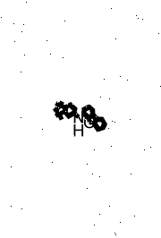 CC1(C)CC(C)(C)c2cc(Nc3cccc4c3oc3ccccc34)ccc21